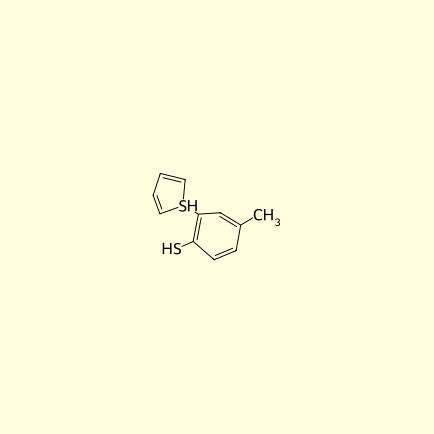 Cc1ccc(S)c([SH]2C=CC=C2)c1